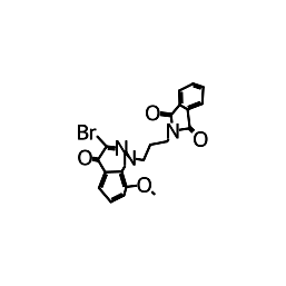 COc1cccc2c(=O)c(Br)nn(CCCN3C(=O)c4ccccc4C3=O)c12